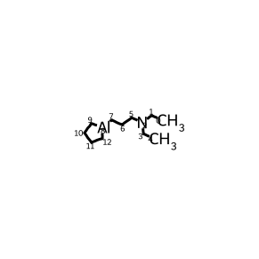 CCN(CC)CC[CH2][Al]1[CH2]CC[CH2]1